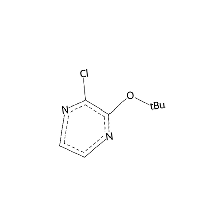 CC(C)(C)Oc1nccnc1Cl